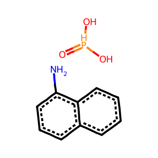 Nc1cccc2ccccc12.O=[PH](O)O